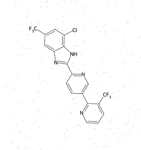 FC(F)(F)c1cc(Cl)c2[nH]c(-c3ccc(-c4ncccc4C(F)(F)F)cn3)nc2c1